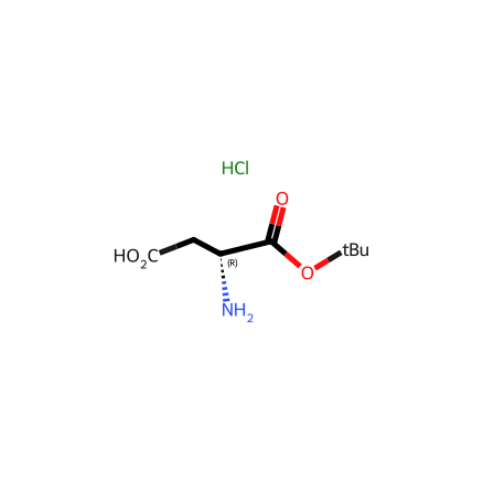 CC(C)(C)OC(=O)[C@H](N)CC(=O)O.Cl